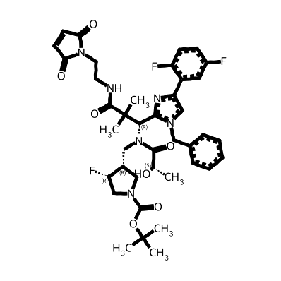 C[C@H](O)C(=O)N(C[C@@H]1CN(C(=O)OC(C)(C)C)C[C@@H]1F)[C@@H](c1nc(-c2cc(F)ccc2F)cn1Cc1ccccc1)C(C)(C)C(=O)NCCN1C(=O)C=CC1=O